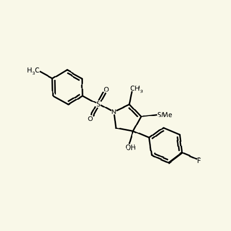 CSC1=C(C)N(S(=O)(=O)c2ccc(C)cc2)CC1(O)c1ccc(F)cc1